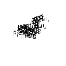 CC(C)(C)c1c(O)c(OC(=O)[O-])c(C(C)(C)C)c(Br)c1Br.CC(C)(C)c1c(O)c(OC(=O)[O-])c(C(C)(C)C)c(Br)c1Br.Cc1cccc(C)c1N=C1C(=Nc2c(C)cccc2C)c2cccc3cccc1c23.[Ni+2]